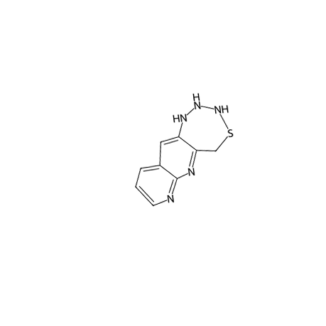 c1cnc2nc3c(cc2c1)NNNSC3